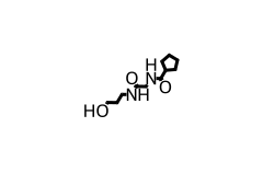 O=C(CNC(=O)C1CCCC1)NCCCO